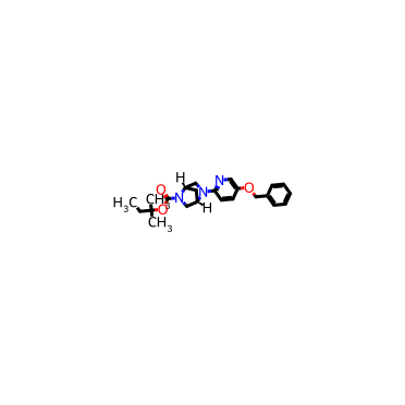 CCC(C)(C)OC(=O)N1C[C@@H]2C[C@H]1CN2c1ccc(OCc2ccccc2)cn1